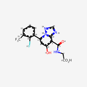 O=C(O)CNC(=O)c1c(O)cc(-c2cccc(C(F)(F)F)c2F)n2ncnc12